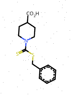 O=C(O)C1CCN(C(=S)SCc2ccccc2)CC1